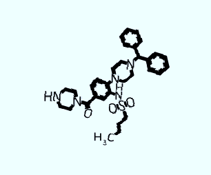 CCCCS(=O)(=O)Nc1cc(C(=O)N2CCNCC2)ccc1N1CCN(C(c2ccccc2)c2ccccc2)CC1